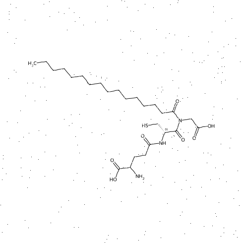 CCCCCCCCCCCCCCCC(=O)N(CC(=O)O)C(=O)[C@@H](CS)NC(=O)CCC(N)C(=O)O